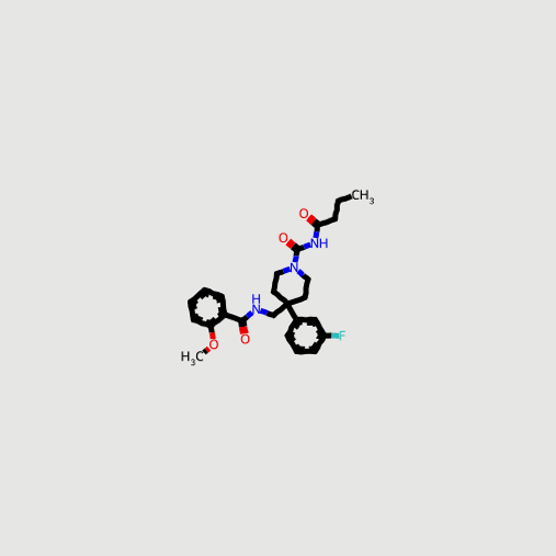 CCCC(=O)NC(=O)N1CCC(CNC(=O)c2ccccc2OC)(c2cccc(F)c2)CC1